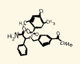 COC(=O)c1ccc(CN(C(C(N)=O)c2ccccc2)S(=O)(=O)c2cc(C)c(Cl)cc2C)cc1